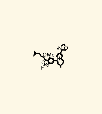 COc1cc(C2=CC(C)CC=C3C=C(C4COCCN4C)C=CN32)cc(OCF)c1C(=O)CCCC1CC1